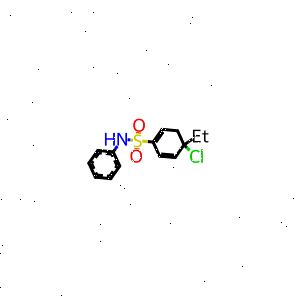 CCC1(Cl)C=CC(S(=O)(=O)Nc2ccccc2)=CC1